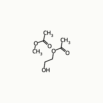 CC(=O)OCCO.COC(C)=O